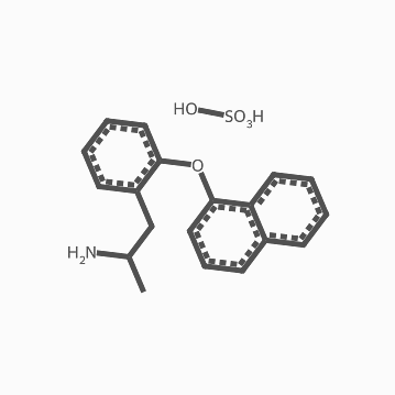 CC(N)Cc1ccccc1Oc1cccc2ccccc12.O=S(=O)(O)O